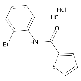 CCc1ccccc1NC(=O)c1cccs1.Cl.Cl